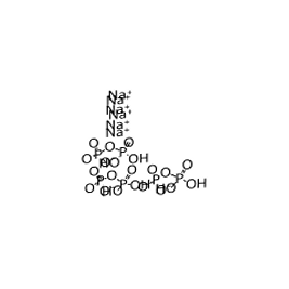 O=P([O-])([O-])OP(=O)(O)O.O=P([O-])([O-])OP(=O)(O)O.O=P([O-])([O-])OP(=O)(O)O.[Na+].[Na+].[Na+].[Na+].[Na+].[Na+]